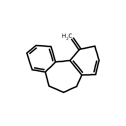 C=C1CC=CC2=C1c1ccccc1CCC2